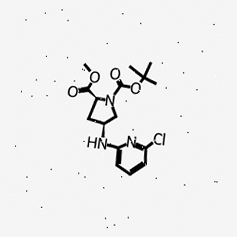 COC(=O)[C@@H]1C[C@H](Nc2cccc(Cl)n2)CN1C(=O)OC(C)(C)C